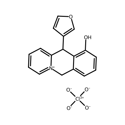 Oc1cccc2c1C(c1ccoc1)c1cccc[n+]1C2.[O-][Cl+3]([O-])([O-])[O-]